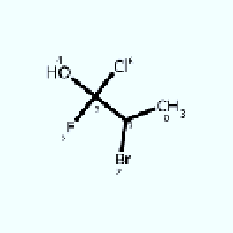 CC(Br)C(O)(F)Cl